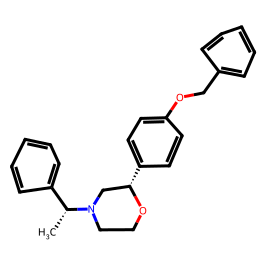 C[C@H](c1ccccc1)N1CCO[C@@H](c2ccc(OCc3ccccc3)cc2)C1